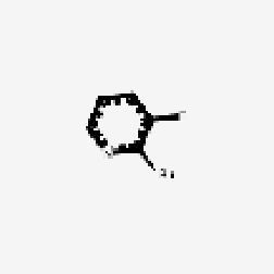 CC[C@H](C)c1ncccc1F